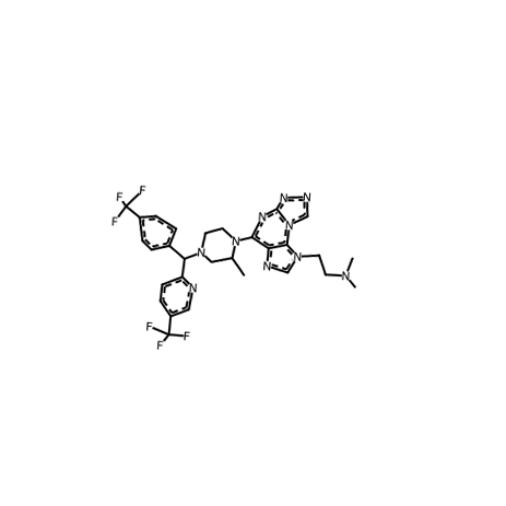 CC1CN(C(c2ccc(C(F)(F)F)cc2)c2ccc(C(F)(F)F)cn2)CCN1c1nc2nncn2c2c1ncn2CCN(C)C